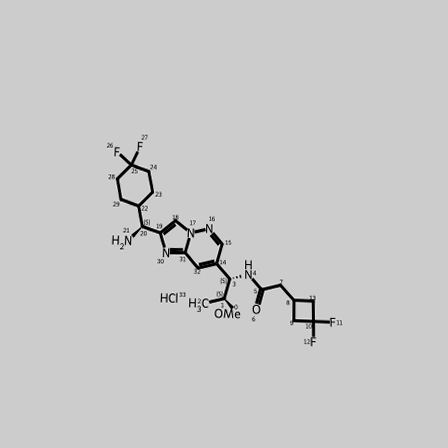 CO[C@@H](C)[C@@H](NC(=O)CC1CC(F)(F)C1)c1cnn2cc([C@@H](N)C3CCC(F)(F)CC3)nc2c1.Cl